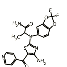 CC(C(N)=O)N(c1ccc2c(c1)OC(F)(F)O2)c1nc(N)c(C(=O)c2ccncc2)s1